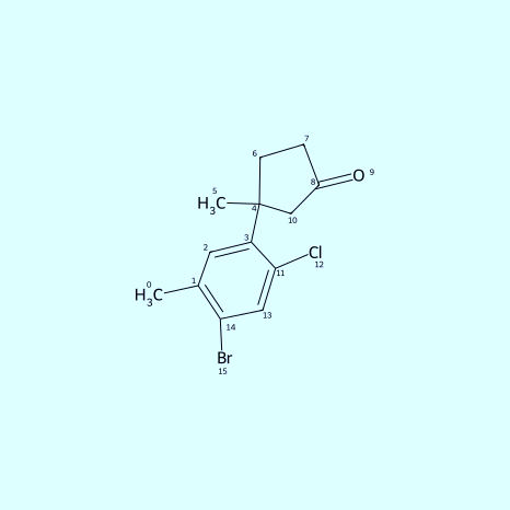 Cc1cc(C2(C)CCC(=O)C2)c(Cl)cc1Br